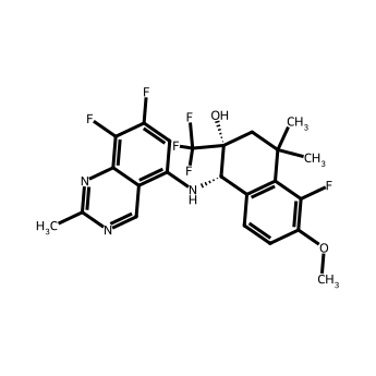 COc1ccc2c(c1F)C(C)(C)C[C@](O)(C(F)(F)F)[C@H]2Nc1cc(F)c(F)c2nc(C)ncc12